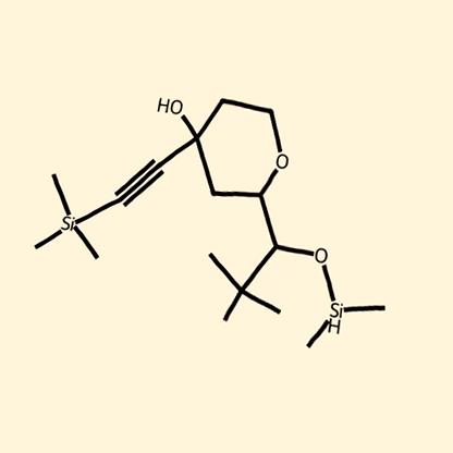 C[SiH](C)OC(C1CC(O)(C#C[Si](C)(C)C)CCO1)C(C)(C)C